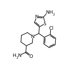 NC(=O)C1CCCN(C(c2cnc(N)s2)c2ccccc2Cl)C1